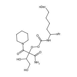 CCCCCCCCCCCCCCC(CCC)NC(=O)OOC(C(N)=O)(C(=O)N1CCCCC1)C(O)CO